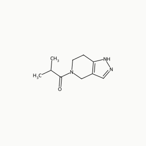 CC(C)C(=O)N1CCc2[nH]ncc2C1